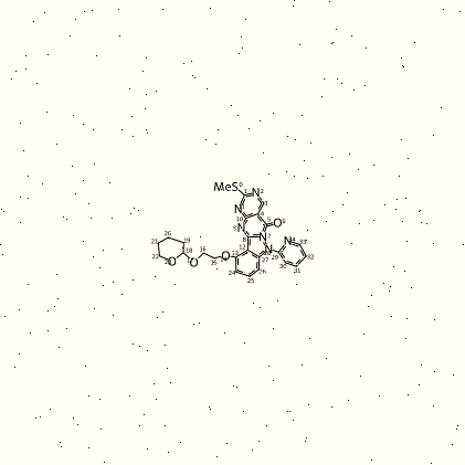 CSc1ncc2c(=O)n3c(nc2n1)c1c(OCCOC2CCCCO2)cccc1n3-c1ccccn1